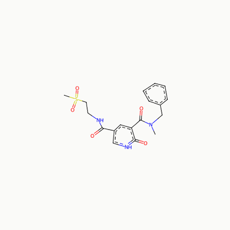 CN(Cc1ccccc1)C(=O)c1cc(C(=O)NCCS(C)(=O)=O)c[nH]c1=O